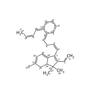 C=CC1=C(/C=C\C\C=c2/cccc/c2=C/C=C\C)C2=CC=C(I)CC2C1(C)C